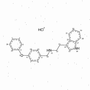 Cl.c1ccc(Oc2ccc(CNCCc3c[nH]c4ccccc34)cc2)cc1